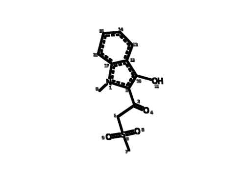 Cn1c(C(=O)CS(C)(=O)=O)c(O)c2ccccc21